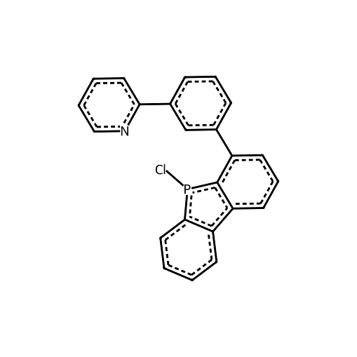 Clp1c2ccccc2c2cccc(-c3cccc(-c4ccccn4)c3)c21